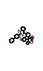 c1ccc(-c2ccc(C3N=c4ccccc4=C(c4cccc5c4-c4ccccc4C54c5ccccc5Oc5ccccc54)N3)cc2)cc1